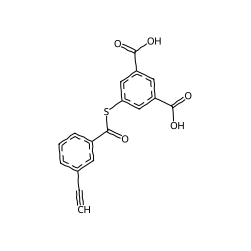 C#Cc1cccc(C(=O)Sc2cc(C(=O)O)cc(C(=O)O)c2)c1